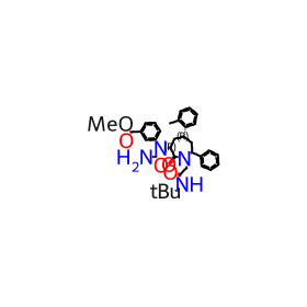 COC(=O)c1cccc(N(C(N)=O)[C@@H]2C[C@H](c3ccccc3C)CC(c3ccccc3)N(CC(=O)NC(C)(C)C)C2=O)c1